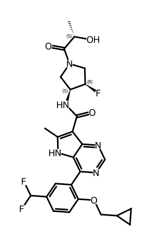 Cc1[nH]c2c(-c3cc(C(F)F)ccc3OCC3CC3)ncnc2c1C(=O)N[C@H]1CN(C(=O)[C@H](C)O)C[C@H]1F